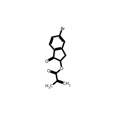 C=C(C)C(=O)OC1Cc2cc(Br)ccc2C1=O